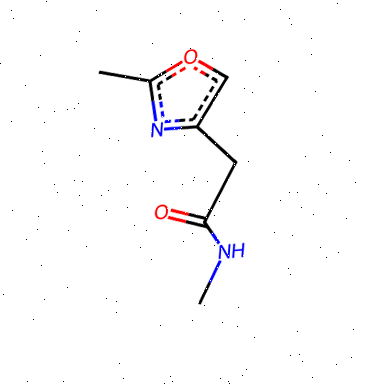 CNC(=O)Cc1coc(C)n1